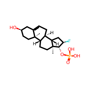 C[C@]12CC[C@H]3[C@@H](CC=C4C[C@H](O)CC[C@@]43C)[C@@H]1C[C@@H](F)[C@@H]2OP(=O)(O)O